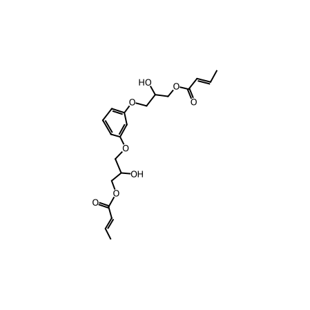 CC=CC(=O)OCC(O)COc1cccc(OCC(O)COC(=O)C=CC)c1